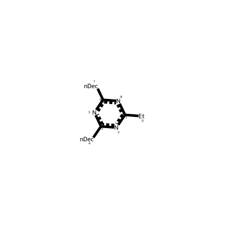 [CH2]Cc1nc(CCCCCCCCCC)nc(CCCCCCCCCC)n1